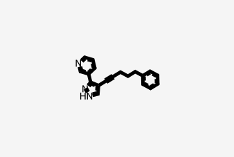 C(#Cc1c[nH]nc1-c1cccnc1)CCCc1ccccc1